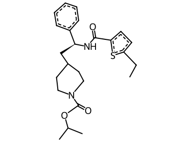 CCc1ccc(C(=O)N[C@@H](CC2CCN(C(=O)OC(C)C)CC2)c2ccccc2)s1